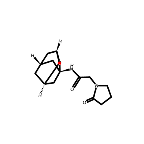 O=C(CN1CCCC1=O)N[C@@]12C[C@@H]3C[C@@H](C[C@H](C3)O1)C2